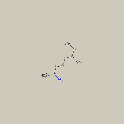 CC(=O)OCC(CSC[C@H](N)C(=O)O)OC(C)=O